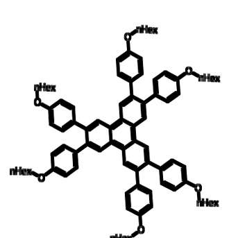 CCCCCCOc1ccc(-c2cc3c4cc(-c5ccc(OCCCCCC)cc5)c(-c5ccc(OCCCCCC)cc5)cc4c4cc(-c5ccc(OCCCCCC)cc5)c(-c5ccc(OCCCCCC)cc5)cc4c3cc2-c2ccc(OCCCCCC)cc2)cc1